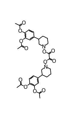 CC(=O)Oc1ccc(C2CCCN(OC(=O)C(=O)ON3CCCC(c4ccc(OC(C)=O)c(OC(C)=O)c4)C3)C2)cc1OC(C)=O